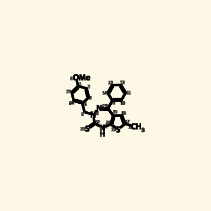 COc1ccc(CN2N=C(c3ccccc3)c3cc(C)sc3NC2=S)cc1